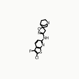 Fc1c(Cl)sc2nc(NC3=NOC4(C3)CN3CCC4CC3)ccc12